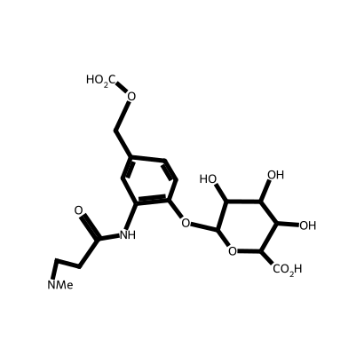 CNCCC(=O)Nc1cc(COC(=O)O)ccc1OC1OC(C(=O)O)C(O)C(O)C1O